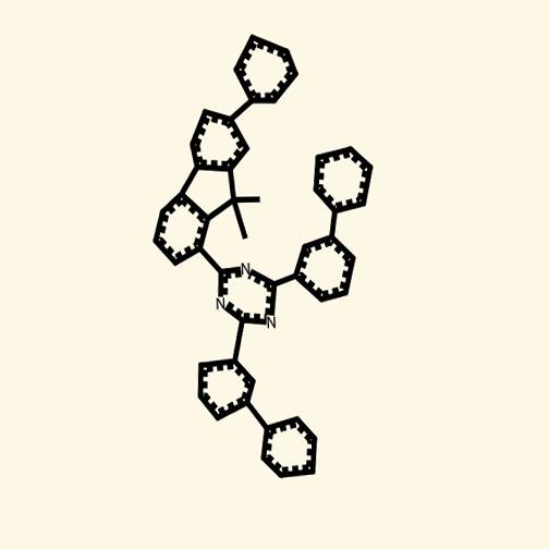 CC1(C)c2cc(-c3ccccc3)ccc2-c2cccc(-c3nc(-c4cccc(-c5ccccc5)c4)nc(-c4cccc(-c5ccccc5)c4)n3)c21